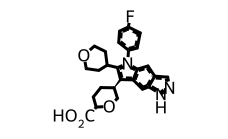 O=C(O)C1CC[C@@H](c2c(C3CCOCC3)n(-c3ccc(F)cc3)c3cc4cn[nH]c4cc23)CO1